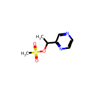 CC(OS(C)(=O)=O)c1cnccn1